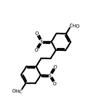 O=CC1=CC=C(CCC2=CC=C(C=O)CC2=S(=O)=O)C(=S(=O)=O)C1